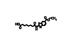 CCOC(=O)c1ccc2nc(NC(=O)CCCCCCC(=O)O)sc2c1